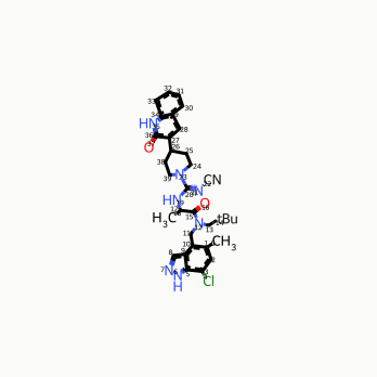 Cc1cc(Cl)c2[nH]ncc2c1CN(CC(C)(C)C)C(=O)C(C)N/C(=N/C#N)N1CCC(c2cc3ccccc3[nH]c2=O)CC1